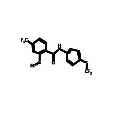 CCSc1cc(C(F)(F)F)ccc1C(=O)Nc1ccc(SC(F)(F)F)cc1